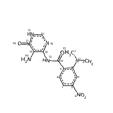 CN(C)c1cc([N+](=O)[O-])ccc1C(=O)Nc1nc[nH]c(=O)c1N